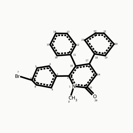 Cn1c(-c2ccc(Br)cc2)c(-c2ccccc2)c(-c2ccccc2)cc1=O